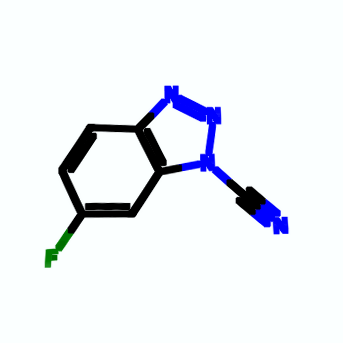 N#Cn1nnc2ccc(F)cc21